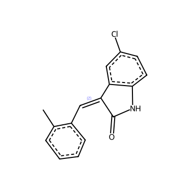 Cc1ccccc1/C=C1\C(=O)Nc2ccc(Cl)cc21